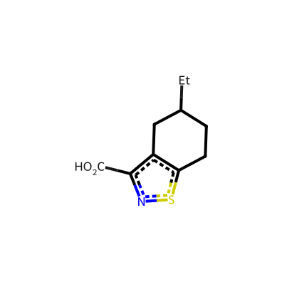 CCC1CCc2snc(C(=O)O)c2C1